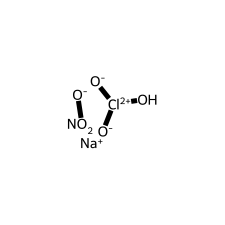 O=[N+]([O-])[O-].[Na+].[O-][Cl+2]([O-])O